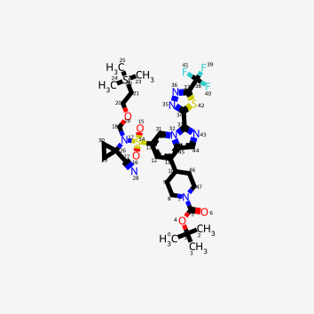 CC(C)(C)OC(=O)N1CCC(c2cc(S(=O)(=O)N(COCC[Si](C)(C)C)C3(C#N)CC3)cn3c(-c4nnc(C(F)(F)F)s4)ncc23)CC1